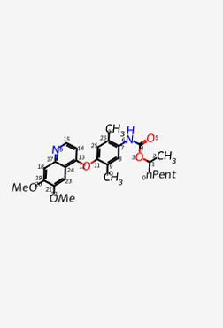 CCCCCC(C)OC(=O)Nc1cc(C)c(Oc2ccnc3cc(OC)c(OC)cc23)cc1C